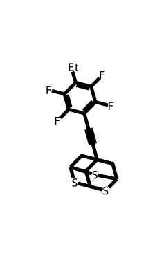 CCc1c(F)c(F)c(C#CC23CC4SC(C2)SC(C3)S4)c(F)c1F